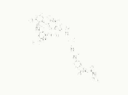 CC(C)(C)C[C@@H]1N(C23CCC(C(=O)N4CCC5(CC4)CC(N4CCN(c6ccc7c(c6)CN(C6CCC(=O)NC6=O)C7=O)CC4)C5)(CC2)CC3)[C@@H](C(N)=O)[C@H](c2cccc(Cl)c2F)[C@]12CNc1cc(C(F)(F)F)ncc12